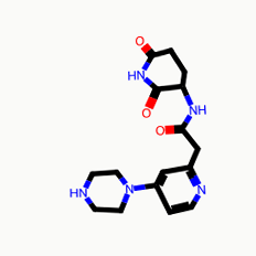 O=C1CCC(NC(=O)Cc2cc(N3CCNCC3)ccn2)C(=O)N1